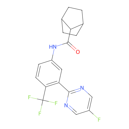 O=C(Nc1ccc(C(F)(F)F)c(-c2ncc(F)cn2)c1)C1C2CCC1CC2